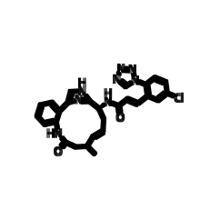 CC1/C=C/C[C@H](NC(=O)/C=C/c2cc(Cl)ccc2-n2cnnn2)c2nc(c[nH]2)-c2ccccc2NC(=O)C1